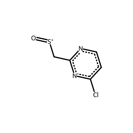 O=[S+]Cc1nccc(Cl)n1